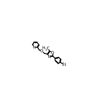 CCc1ccc(-c2nc(COCc3ccccn3)c(C)o2)cc1